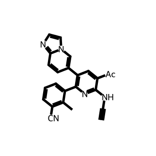 C#CNc1nc(-c2cccc(C#N)c2C)c(-c2ccc3nccn3c2)cc1C(C)=O